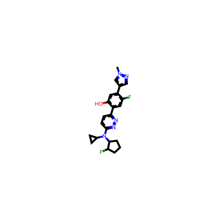 Cn1cc(-c2cc(O)c(-c3ccc(N(C4CC4)C4CCCC4F)nn3)cc2F)cn1